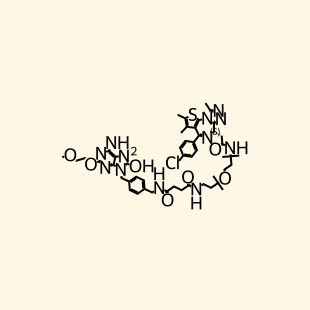 COCCOc1nc(N)c2nc(O)n(Cc3ccc(CNC(=O)CCC(=O)NCCC(C)(C)OCCC(C)(C)NC(=O)C[C@@H]4N=C(c5ccc(Cl)cc5)c5c(sc(C)c5C)-n5c(C)nnc54)cc3)c2n1